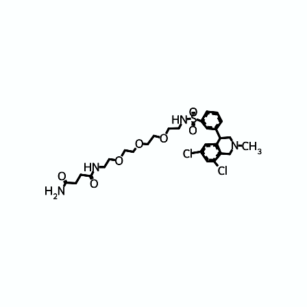 CN1Cc2c(Cl)cc(Cl)cc2C(c2cccc(S(=O)(=O)NCCOCCOCCOCCNC(=O)CCC(N)=O)c2)C1